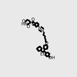 CCC(=C(c1ccc(O)cc1)c1ccc(OCCCCCCN2CCN(c3ccc4c(c3)CN(C3CCC(=O)NC3=O)C4=O)CC2)cc1)c1ccccc1